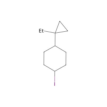 CCC1(C2CCC(I)CC2)CC1